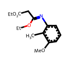 CCOC(=O)C/C(=N/c1cccc(OC)c1C)OCC